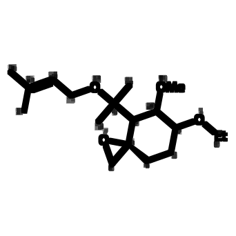 CCOC1CC[C@]2(CO2)C(C(C)(C)OCC=C(C)C)C1OC